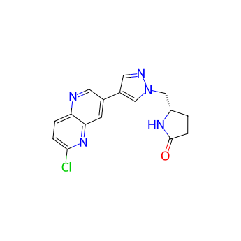 O=C1CC[C@@H](Cn2cc(-c3cnc4ccc(Cl)nc4c3)cn2)N1